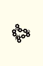 c1ccc(-c2nc(-c3ccc(-c4cccc5oc6ccc(-c7ccc8c(c7)c7ccccc7n8-c7ccccc7)cc6c45)cc3)c3ccccc3n2)cc1